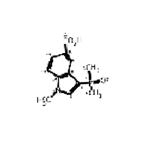 Cn1cc(P(C)(C)=O)c2cc(C(=O)O)ccc21